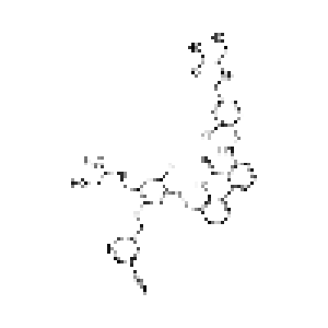 CC(CO)NCc1cc(Cl)c(OCc2cccc(-c3cccc(NCc4ccc(CNC(CO)C(=O)O)cc4Cl)c3C=N)c2Br)cc1OCc1cncc(C#N)c1